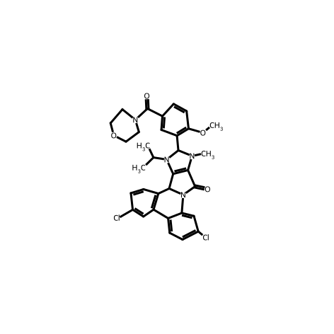 COc1ccc(C(=O)N2CCOCC2)cc1C1N(C)C2=C(C3c4ccc(Cl)cc4-c4ccc(Cl)cc4N3C2=O)N1C(C)C